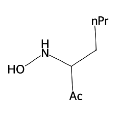 CCCCC(NO)C(C)=O